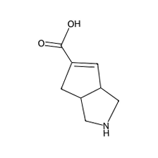 O=C(O)C1=CC2CNCC2C1